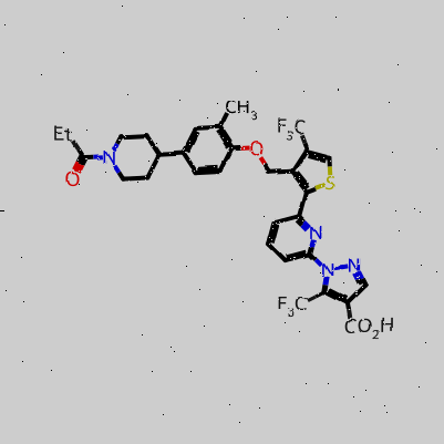 CCC(=O)N1CCC(c2ccc(OCc3c(C(F)(F)F)csc3-c3cccc(-n4ncc(C(=O)O)c4C(F)(F)F)n3)c(C)c2)CC1